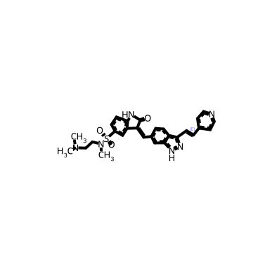 CN(C)CCN(C)S(=O)(=O)c1ccc2c(c1)C(=Cc1ccc3c(/C=C/c4ccncc4)n[nH]c3c1)C(=O)N2